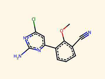 COc1c(C#N)cccc1-c1cc(Cl)nc(N)n1